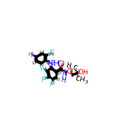 CC(C)(O)CONC(=O)c1cc(F)c(F)c(F)c1Nc1ccc(I)cc1F